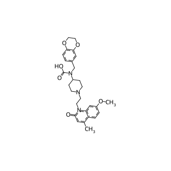 COc1ccc2c(C)cc(=O)n(CCN3CCC(N(Cc4ccc5c(c4)OCCO5)C(=O)O)CC3)c2c1